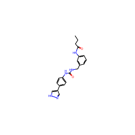 CCCC(=O)Nc1cccc(CNC(=O)Nc2ccc(-c3cn[nH]c3)cc2)c1